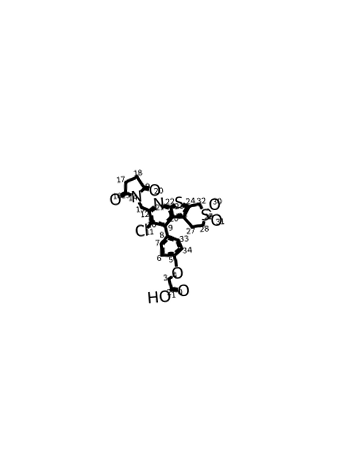 O=C(O)COc1ccc(-c2c(Cl)c(CN3C(=O)CCC3=O)nc3sc4c(c23)CCS(=O)(=O)C4)cc1